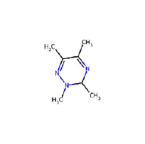 CC1=NC(C)N(C)N=C1C